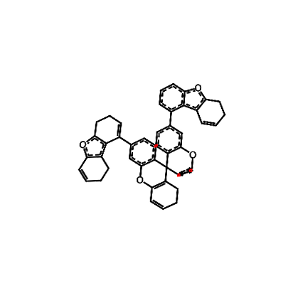 C1=CC2=C(CC1)C1(c3ccc(C4=CCCc5oc6c(c54)CCC=C6)cc3O2)c2ccccc2Oc2cc(-c3cccc4oc5c(c34)C=CCC5)ccc21